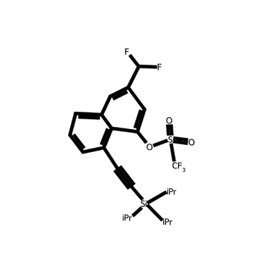 CC(C)[Si](C#Cc1cccc2cc(C(F)F)cc(OS(=O)(=O)C(F)(F)F)c12)(C(C)C)C(C)C